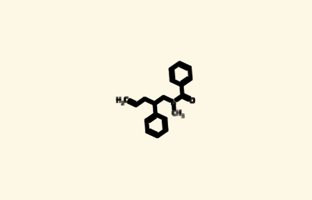 C=CCC(CN(C)C(=O)c1ccccc1)c1ccccc1